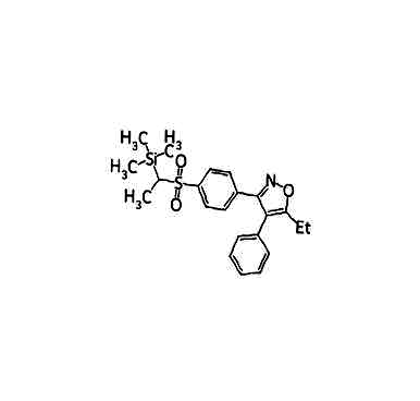 CCc1onc(-c2ccc(S(=O)(=O)C(C)[Si](C)(C)C)cc2)c1-c1ccccc1